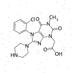 Cn1c(=O)c2c(nc(N3CCNCC3)n2-c2ccccc2Cl)n(CC(=O)O)c1=O